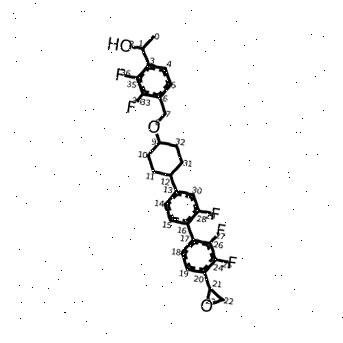 CC(O)c1ccc(COC2CCC(c3ccc(-c4ccc(C5CO5)c(F)c4F)c(F)c3)CC2)c(F)c1F